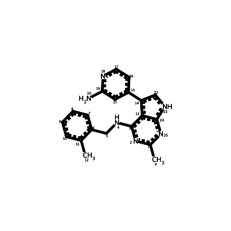 Cc1nc(NCc2ccccc2C)c2c(-c3ccnc(N)c3)c[nH]c2n1